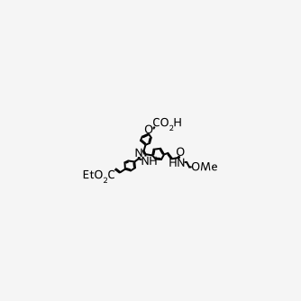 CCOC(=O)/C=C/c1ccc(-c2nc(-c3ccc(OCC(=O)O)cc3)c(-c3ccc(/C=C/C(=O)NCCOC)cc3)[nH]2)cc1